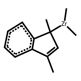 CC1=C[C](C)([Zr]([CH3])[CH3])c2ccccc21